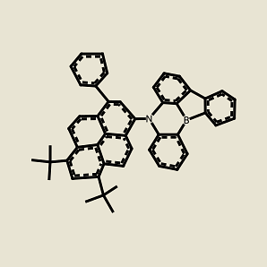 CC(C)(C)c1cc(C(C)(C)C)c2ccc3c(N4c5ccccc5B5c6ccccc6-c6cccc4c65)cc(-c4ccccc4)c4ccc1c2c43